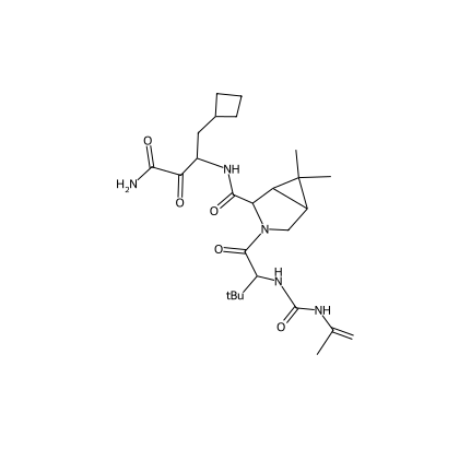 C=C(C)NC(=O)NC(C(=O)N1CC2C(C1C(=O)NC(CC1CCC1)C(=O)C(N)=O)C2(C)C)C(C)(C)C